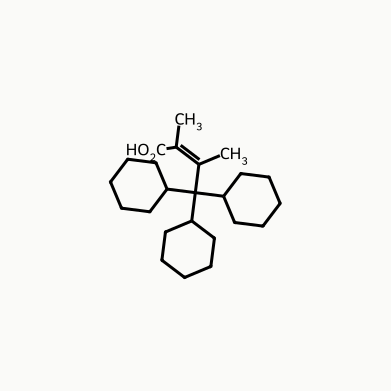 CC(C(=O)O)=C(C)C(C1CCCCC1)(C1CCCCC1)C1CCCCC1